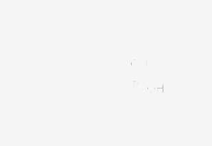 OB(O)c1cccc(-c2cccc3c2Cc2ccccc2-3)c1